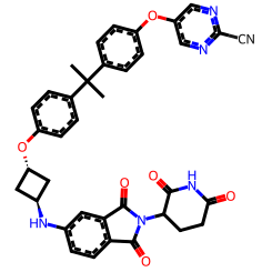 CC(C)(c1ccc(Oc2cnc(C#N)nc2)cc1)c1ccc(O[C@H]2C[C@H](Nc3ccc4c(c3)C(=O)N(C3CCC(=O)NC3=O)C4=O)C2)cc1